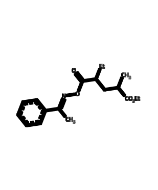 CCOC(=O)C(C)CC(CC)C(=O)ON=C(C)c1ccccc1